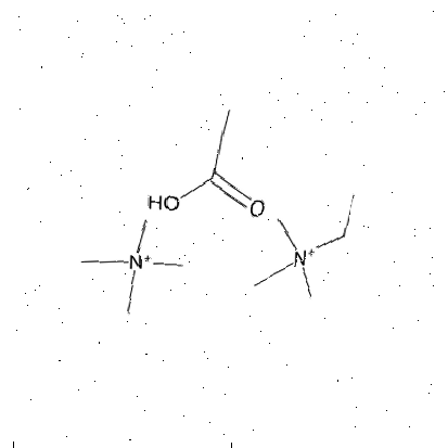 CC(=O)O.CC[N+](C)(C)C.C[N+](C)(C)C